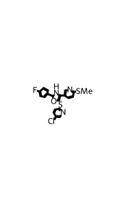 CSc1ccc(C2=C(Sc3ccc(Cl)cn3)OC(c3ccc(F)cc3)N2)cn1